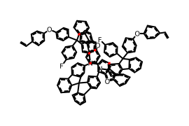 C=Cc1ccc(Oc2ccc(C3(c4ccc(F)cc4)c4ccccc4-c4ccc(N(c5ccc6c(c5)C5(c7ccccc7-6)c6ccccc6-c6ccc(N(c7ccc8c(c7)C(c7ccc(F)cc7)(c7ccc(Oc9ccc(C=C)cc9)cc7)c7ccccc7-8)c7ccc8c(c7)oc7ccccc78)cc65)c5ccc6c(c5)oc5ccccc56)cc43)cc2)cc1